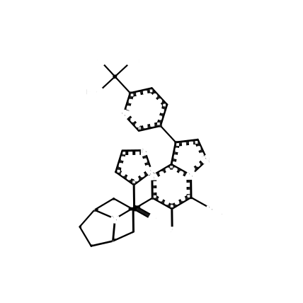 CC(=O)c1c(C2CC3CCC(C2)N3C(=O)c2cc[nH]n2)nc2c(-c3ccc(C(C)(C)O)nc3)cnn2c1N